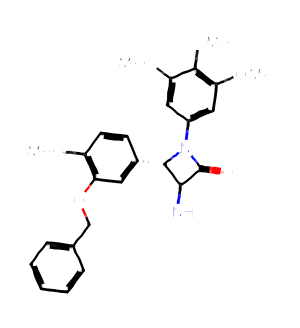 COc1ccc([C@H]2C(N)C(=O)N2c2cc(OC)c(OC)c(OC)c2)cc1OCc1ccccc1